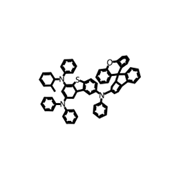 CC1C=CC=CC1N(C1=C2Sc3ccc(N(C4=CC=C5c6ccccc6C6(c7ccccc7Oc7ccccc76)C5C4)c4ccccc4)cc3C2CC(N(c2ccccc2)c2ccccc2)=C1)c1ccccc1